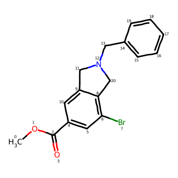 COC(=O)c1cc(Br)c2c(c1)CN(Cc1ccccc1)C2